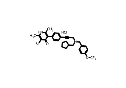 Cc1[nH]c(C)c(-c2ccc(C#CCN(Cc3ccc(OC(F)(F)F)cc3)CC3CCCC3)cc2)c(=O)c1Cl.Cl